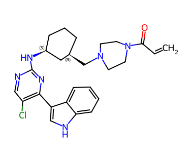 C=CC(=O)N1CCN(C[C@@H]2CCC[C@H](Nc3ncc(Cl)c(-c4c[nH]c5ccccc45)n3)C2)CC1